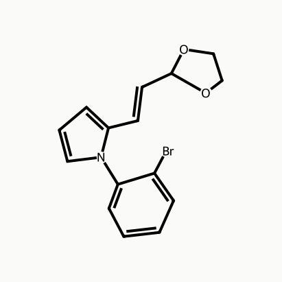 Brc1ccccc1-n1cccc1C=CC1OCCO1